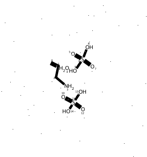 C=CCN.O.O=S(=O)(O)O.O=S(=O)(O)O